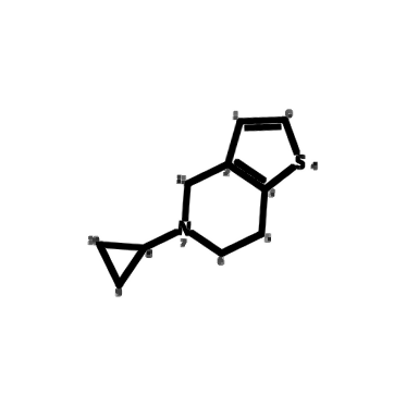 c1cc2c(s1)CCN(C1CC1)C2